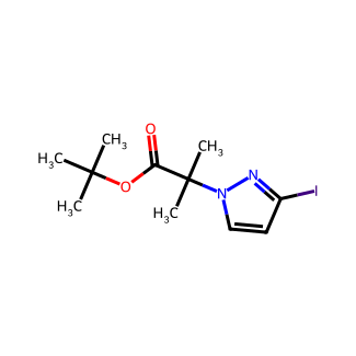 CC(C)(C)OC(=O)C(C)(C)n1ccc(I)n1